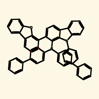 c1ccc(-c2ccc(N(c3ccc(-c4ccccc4)cc3)c3c(-c4cccc5c4oc4ccccc45)ccc4c5ccccc5n(-c5ccccc5)c34)cc2)cc1